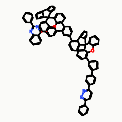 c1ccc(-c2ccc(-c3ccc(-c4cccc(-c5cccc6c5Oc5ccccc5C65c6ccccc6-c6c(-c7ccc(-c8cccc9c8Oc8ccccc8C98c9ccccc9-c9ccccc98)c(-c8ccc(-c9nc(-c%10ccccc%10)nc%10ccccc9%10)cc8)c7)cccc65)c4)cc3)nn2)cc1